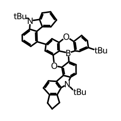 CC(C)(C)c1ccc2c(c1)B1c3ccc4c(c3Oc3cc(-c5cccc6c5c5ccccc5n6C(C)(C)C)cc(c31)O2)c1ccc2c(c1n4C(C)(C)C)CCC2